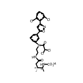 C[C@H](CC(=O)NCCN(C(=O)C(Cl)Cl)c1cccc(-c2cc(-c3c(Cl)cccc3Cl)no2)c1)[C@H](C)NC(=O)O